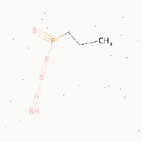 B#P(B=BB=B)CCC